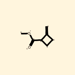 C=C1CCC1C(=O)OC